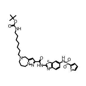 CC(C)(C)OC(=O)NCCCCCCCN1CCCn2nc(C(=O)Nc3nc4ccc(NS(=O)(=O)c5cccs5)cc4s3)cc2C1